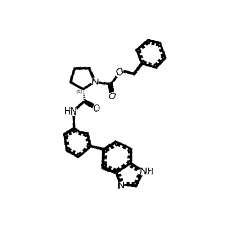 O=C(Nc1cccc(-c2ccc3[nH]cnc3c2)c1)[C@@H]1CCCN1C(=O)OCc1ccccc1